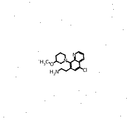 COC1CCCN(c2c(CCN)cc(Cl)c3cccnc23)C1